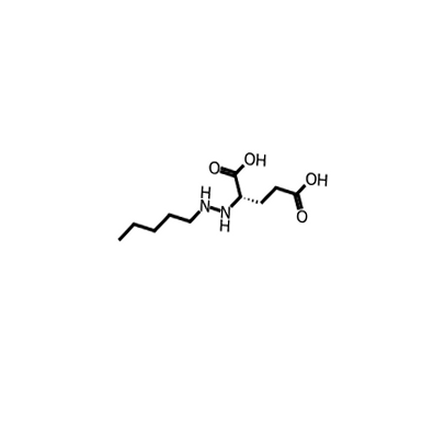 CCCCCNN[C@@H](CCC(=O)O)C(=O)O